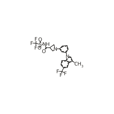 Cc1cn(-c2cccc(N3CC(C(=O)NS(=O)(=O)C(F)(F)F)C3)c2)c2ccc(C(F)(F)F)cc12